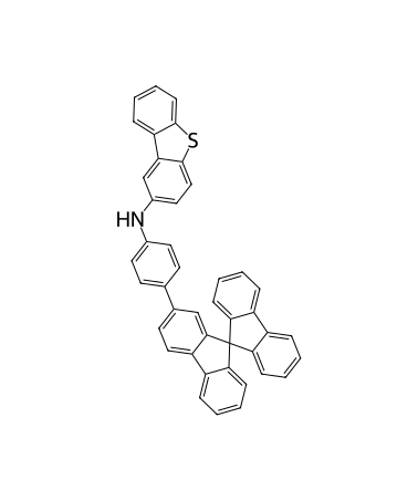 c1ccc2c(c1)-c1ccccc1C21c2ccccc2-c2ccc(-c3ccc(Nc4ccc5sc6ccccc6c5c4)cc3)cc21